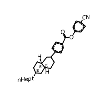 CCCCCCC[C@H]1CC[C@@H]2CC(c3ccc(C(=O)Oc4ccc(C#N)cc4)cc3)CC[C@H]2C1